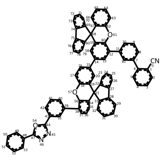 N#Cc1ccccc1-c1cccc(-c2cc(-c3ccc4c(c3)C3(c5ccccc5-c5ccccc53)c3cccc(-c5cccc(-c6nnc(-c7ccccc7)o6)c5)c3O4)cc3c2Oc2ccccc2C32c3ccccc3-c3ccccc32)c1